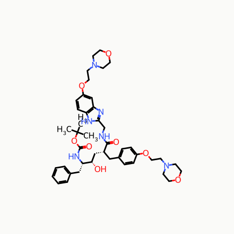 CC(C)(C)OC(=O)N[C@@H](Cc1ccccc1)[C@@H](O)C[C@@H](Cc1ccc(OCCN2CCOCC2)cc1)C(=O)NCc1nc2cc(OCCN3CCOCC3)ccc2[nH]1